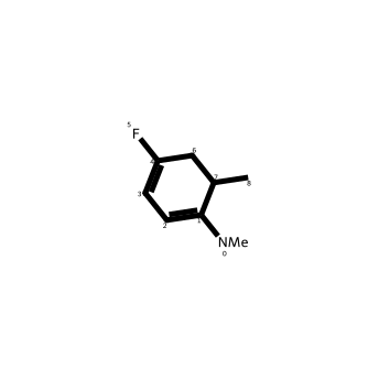 CNC1=CC=C(F)CC1C